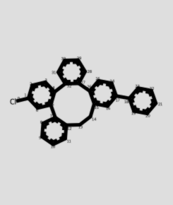 Clc1ccc2c(c1)-c1ccccc1CCc1cc(-c3ccccc3)ccc1-c1ccccc1-2